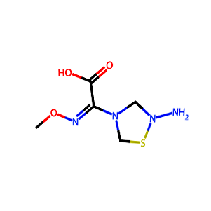 CON=C(C(=O)O)N1CSN(N)C1